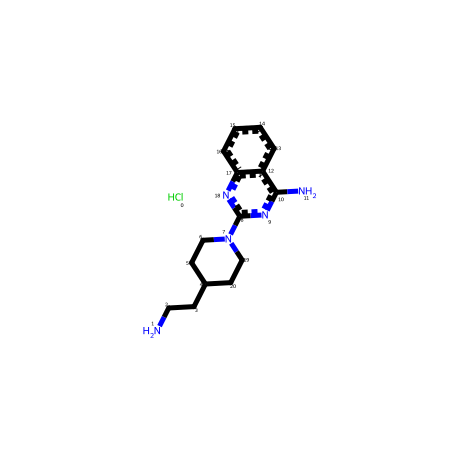 Cl.NCCC1CCN(c2nc(N)c3ccccc3n2)CC1